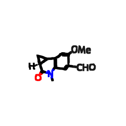 COc1cc2c(cc1C=O)N(C)C(=O)[C@H]1CC21